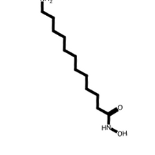 NCCCCCCCCCCCC(=O)NO